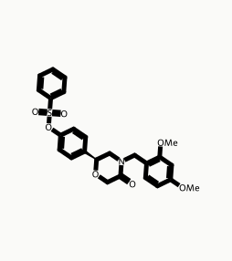 COc1ccc(CN2C[C@H](c3ccc(OS(=O)(=O)c4ccccc4)cc3)OCC2=O)c(OC)c1